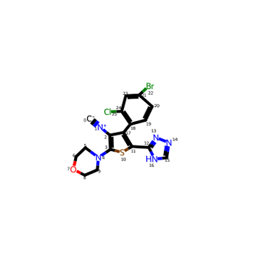 [C-]#[N+]c1c(N2CCOCC2)sc(-c2nnc[nH]2)c1-c1ccc(Br)cc1Cl